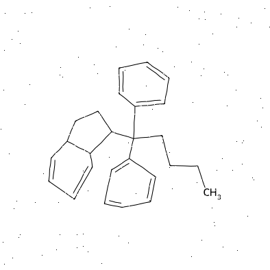 CCCCC(c1ccccc1)(c1ccccc1)C1CCC2C=CC=CC21